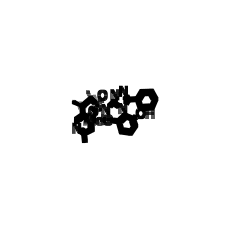 COc1cccc(O)c1-n1c(NS(=O)(=O)[C@@H](C)[C@H](C)c2cnc(C)cn2)nnc1C1=C=C=CC=C1